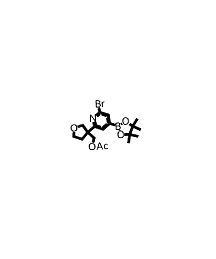 CC(=O)OCC1(c2cc(B3OC(C)(C)C(C)(C)O3)cc(Br)n2)CCOC1